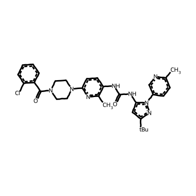 Cc1ccc(-n2nc(C(C)(C)C)cc2NC(=O)Nc2ccc(N3CCN(C(=O)c4ccccc4Cl)CC3)nc2C)cn1